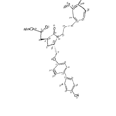 COC(=O)C[C@@H]1C[C@@H](COc2ccc(-c3ccc(C#N)cc3)cc2)N(CCCc2ccc(OC)c(OC)c2)C1=O